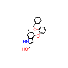 Cc1cc(Oc2ccccc2OCc2ccccc2)c2cc(CO)[nH]c2c1